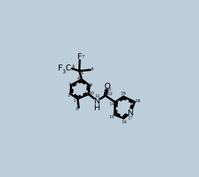 Cc1ccc(C(C)(F)C(F)(F)F)cc1NC(=O)c1ccncc1